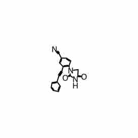 N#Cc1ccc(N2CC(=O)NC2=O)c(C#Cc2ccccc2)c1